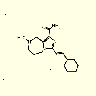 CN1CCCn2c(/C=C/C3CCCCC3)nc(C(N)=O)c2C1